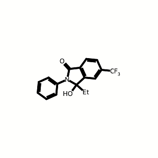 CCC1(O)c2cc(C(F)(F)F)ccc2C(=O)N1c1ccccc1